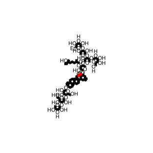 C=CC(C)(O)CCCC(C)C(=O)OC1C(OC2OCC(OC3OC(CO)C(O)C(O)C3O)C(OC3OCC(O)C(OC4OC(CC)C(O)C(O)C4O)C3O)C2O)COC(OC(=O)C23CCC(C)(C)CC2C2=CCC4C5(C)CCC(OC6OC(CO)C(OC7OC(CO)C(O)C(OC8OCC(O)C(O)C8O)C7O)C(O)C6O)C(C)(C)C5CCC4(C)C2(C)CC3O)C1O